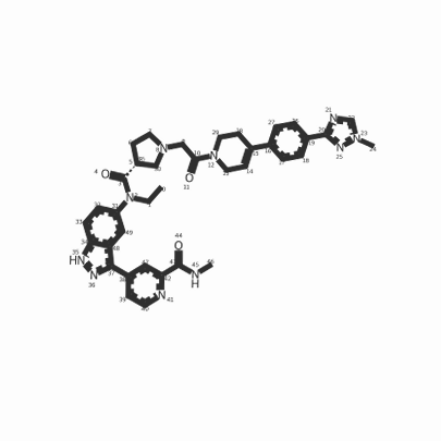 CCN(C(=O)[C@@H]1CCN(CC(=O)N2CC=C(c3ccc(-c4ncn(C)n4)cc3)CC2)C1)c1ccc2[nH]nc(-c3ccnc(C(=O)NC)c3)c2c1